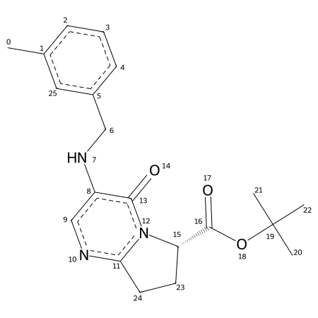 Cc1cccc(CNc2cnc3n(c2=O)[C@H](C(=O)OC(C)(C)C)CC3)c1